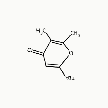 Cc1oc(C(C)(C)C)cc(=O)c1C